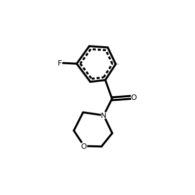 O=C(c1[c]ccc(F)c1)N1CCOCC1